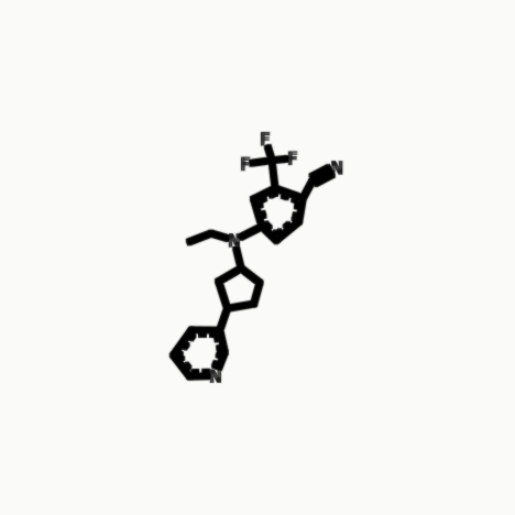 CCN(c1ccc(C#N)c(C(F)(F)F)c1)C1CCC(c2cccnc2)C1